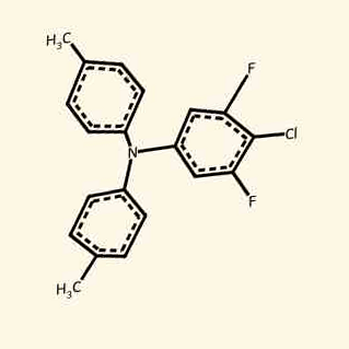 Cc1ccc(N(c2ccc(C)cc2)c2cc(F)c(Cl)c(F)c2)cc1